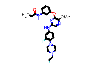 C=CC(=O)Nc1cccc(Oc2nc(Nc3ccc(N4CCN(CCF)CC4)c(F)c3)cnc2OC)c1